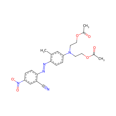 CC(=O)OCCN(CCOC(C)=O)c1ccc(N=Nc2ccc([N+](=O)[O-])cc2C#N)c(C)c1